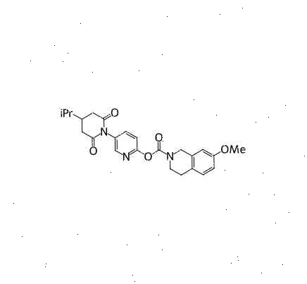 COc1ccc2c(c1)CN(C(=O)Oc1ccc(N3C(=O)CC(C(C)C)CC3=O)cn1)CC2